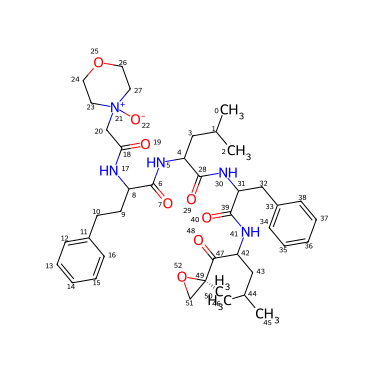 CC(C)CC(NC(=O)C(CCc1ccccc1)NC(=O)C[N+]1([O-])CCOCC1)C(=O)NC(Cc1ccccc1)C(=O)NC(CC(C)C)C(=O)[C@@]1(C)CO1